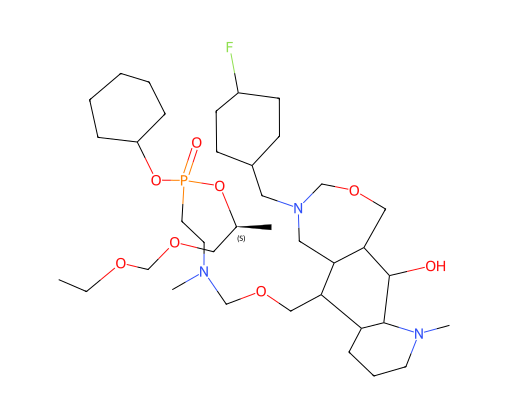 CCOCOC[C@H](C)OP(=O)(CCN(C)COCC1C2CN(CC3CCC(F)CC3)COCC2C(O)C2C1CCCN2C)OC1CCCCC1